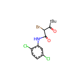 CC(C)(C)C(=O)C(Br)C(=O)Nc1cc(Cl)ccc1Cl